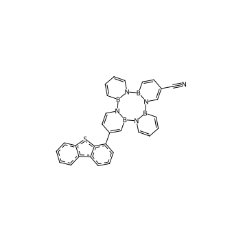 N#CC1=CN2B(C=C1)N1C=CC=CB1N1C=CC(c3cccc4c3sc3ccccc34)=CB1N1C=CC=CB12